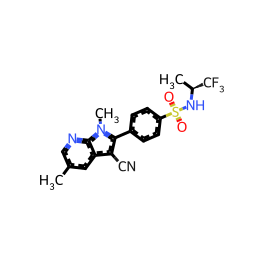 Cc1cnc2c(c1)c(C#N)c(-c1ccc(S(=O)(=O)N[C@@H](C)C(F)(F)F)cc1)n2C